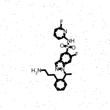 CC(c1ccccc1CCCN)n1ncc2cc(S(=O)(=O)Nc3cccc(F)n3)c(F)cc21